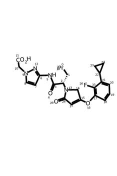 CC(C)C[C@@H](C(=O)Nc1ccn(CC(=O)O)n1)N1CC(Oc2cccc(C3CC3)c2F)=CC1=O